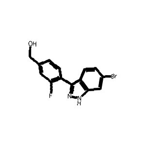 OCc1ccc(-c2n[nH]c3cc(Br)ccc23)c(F)c1